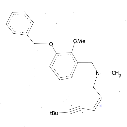 COc1c(CN(C)C/C=C\C#CC(C)(C)C)cccc1OCc1ccccc1